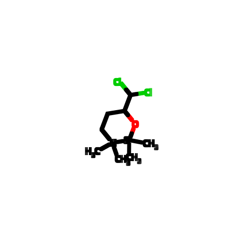 C[Si]1(C)CCC(C(Cl)Cl)O[Si]1(C)C